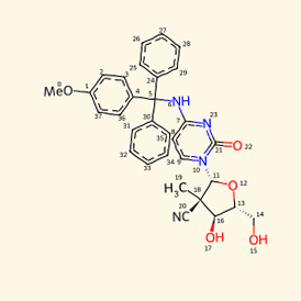 COc1ccc(C(Nc2ccn([C@@H]3O[C@H](CO)[C@@H](O)[C@@]3(C)C#N)c(=O)n2)(c2ccccc2)c2ccccc2)cc1